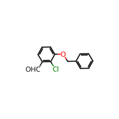 O=Cc1cccc(OCc2ccccc2)c1Cl